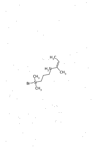 CC=C(C)[SiH2]CCC[Si](C)(C)Br